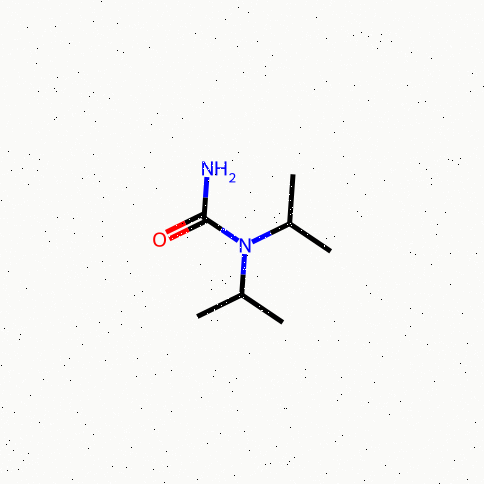 CC(C)N(C(N)=O)C(C)C